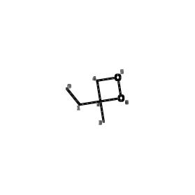 CCC1(C)COO1